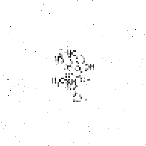 CC(=O)OC1C(C(=O)N(Cc2ccnn2C)[C@H]2CCCC[C@@H]2O)OC(CO)C(O)C1n1cc(-c2cccc(F)c2)nn1